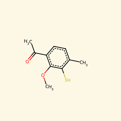 COc1c(C(C)=O)ccc(C)c1S